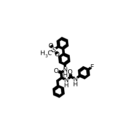 CS(=O)(=O)c1ccccc1-c1ccc(NC(=O)C(Cc2ccccc2)NC(=O)Nc2ccc(F)cc2)cc1